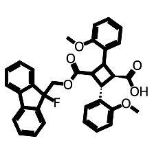 COc1ccccc1C1C(C(=O)OCC2(F)c3ccccc3-c3ccccc32)[C@@H](c2ccccc2OC)[C@@H]1C(=O)O